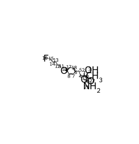 C[C@](CO)(CCc1ccc(OCCCCCF)cc1)OC(N)=O